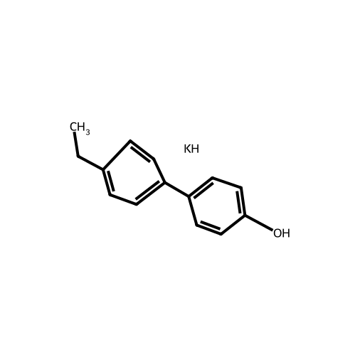 CCc1ccc(-c2ccc(O)cc2)cc1.[KH]